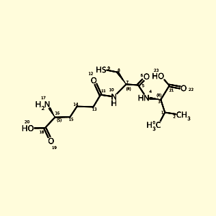 CC(C)[C@@H](NC(=O)[C@H](CS)NC(=O)CCC[C@H](N)C(=O)O)C(=O)O